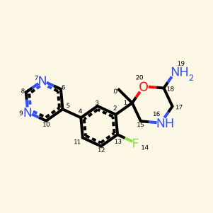 CC1(c2cc(-c3cncnc3)ccc2F)CNCC(N)O1